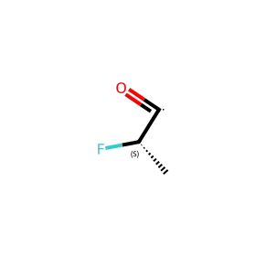 C[C@H](F)[C]=O